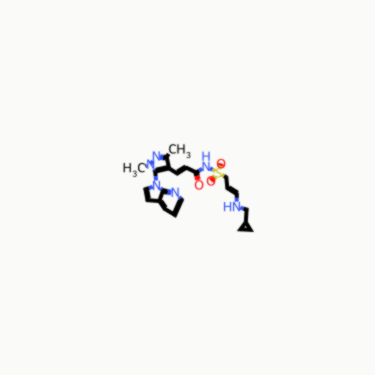 Cc1nn(C)c(-n2ccc3cccnc32)c1/C=C/C(=O)NS(=O)(=O)CC=CNCC1CC1